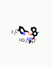 CC[C@@](C)(NC(=O)c1cc(F)c2ccccc2c1OCc1ccc(C(F)(F)F)cn1)C(=O)O